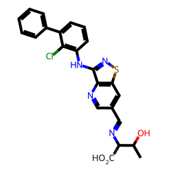 CC(O)C(N=Cc1cnc2c(Nc3cccc(-c4ccccc4)c3Cl)nsc2c1)C(=O)O